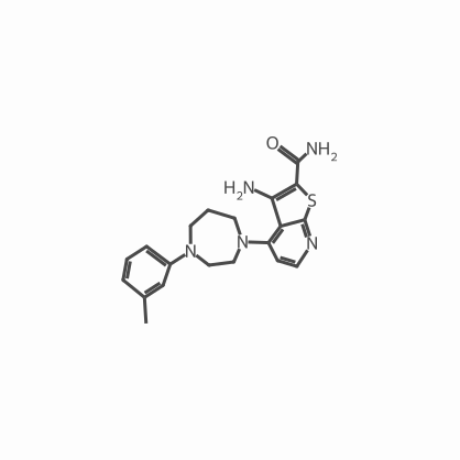 Cc1cccc(N2CCCN(c3ccnc4sc(C(N)=O)c(N)c34)CC2)c1